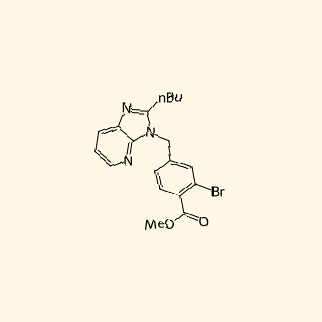 CCCCc1nc2cccnc2n1Cc1ccc(C(=O)OC)c(Br)c1